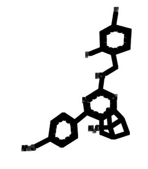 COc1ccc(-c2nc(NCc3ccc(F)cc3F)nc3c2CC2CC3C2(C)C)cc1